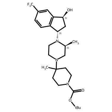 C[C@H]1CN(C2(C)CCN(C(=O)OC(C)(C)C)CC2)CCN1[C@H]1C[C@H](O)c2cc(C(F)(F)F)ccc21